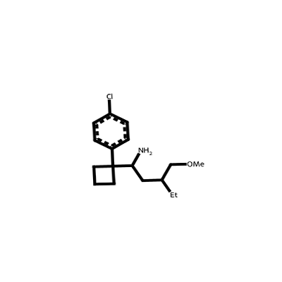 CCC(COC)CC(N)C1(c2ccc(Cl)cc2)CCC1